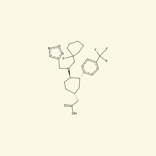 O=C(O)C[C@@H]1CC[C@@H](N(Cc2cnon2)CC2(F)CCCCC2)[C@H](c2ccc(C(F)(F)F)cc2)C1